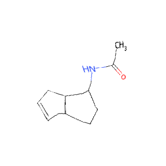 CC(=O)NC1CCC2C=CCC21